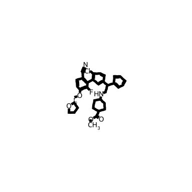 COC(=O)C1CCC(NCC(c2ccccc2)c2ccc(Cl)c(-c3c(C#N)ccc(OC[C@@H]4CCCO4)c3F)c2)CC1